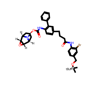 CN1[C@@H]2C[C@@H](OC(=O)Nc3ccc(CCCC(=O)Nc4ccc(CO[Si](C)(C)C(C)(C)C)cc4Br)cc3-c3ccccc3)C[C@H]1[C@@H]1O[C@@H]12